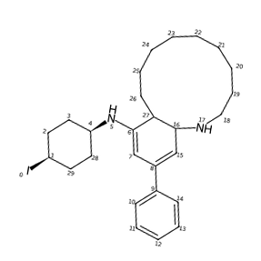 I[C@H]1CC[C@@H](NC2=CC(c3ccccc3)=CC3NCCCCCCCCCC23)CC1